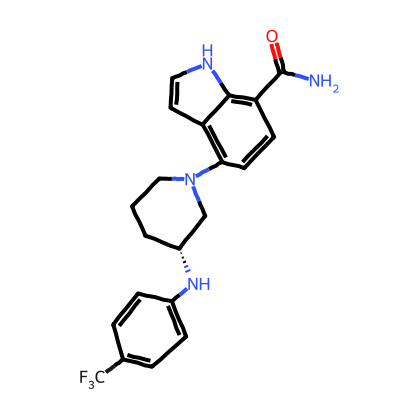 NC(=O)c1ccc(N2CCC[C@@H](Nc3ccc(C(F)(F)F)cc3)C2)c2cc[nH]c12